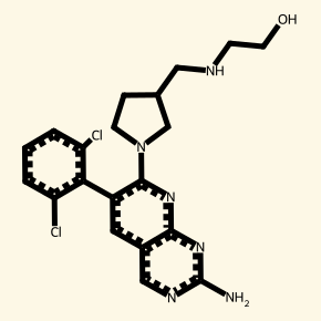 Nc1ncc2cc(-c3c(Cl)cccc3Cl)c(N3CCC(CNCCO)C3)nc2n1